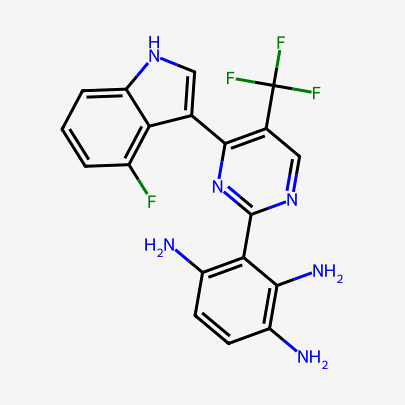 Nc1ccc(N)c(-c2ncc(C(F)(F)F)c(-c3c[nH]c4cccc(F)c34)n2)c1N